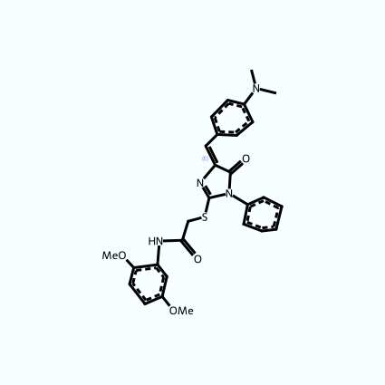 COc1ccc(OC)c(NC(=O)CSC2=N/C(=C/c3ccc(N(C)C)cc3)C(=O)N2c2ccccc2)c1